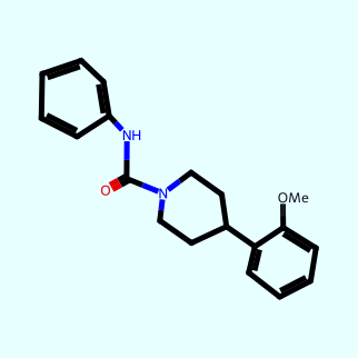 COc1ccccc1C1CCN(C(=O)Nc2ccccc2)CC1